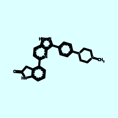 CN1CCN(c2ccc(-c3n[nH]c4ccc(-c5cccc6c5CC(=O)N6)nc34)cc2)CC1